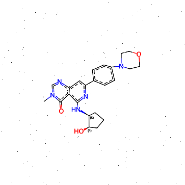 Cn1cnc2cc(-c3ccc(N4CCOCC4)cc3)nc(N[C@H]3CCC[C@H]3O)c2c1=O